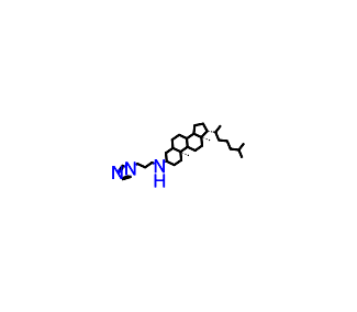 CC(C)CCCC(C)[C@H]1CCC2C3CCC4C[C@@H](NCCCn5ccnc5)CC[C@]4(C)C3CC[C@@]21C